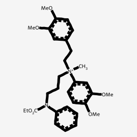 CCOC(=O)N(CCC[N+](C)(CCc1ccc(OC)c(OC)c1)c1ccc(OC)c(OC)c1)c1ccccc1